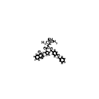 C[Si](C)(C)CCOC(=O)[C@@H]1[C@@H](Cn2nnc3ccccc3c2=O)CC[C@H]1C(=O)c1ccc(OCc2ccccc2)cc1